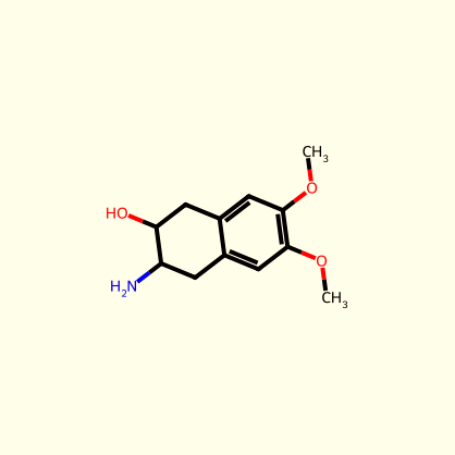 COc1cc2c(cc1OC)CC(O)C(N)C2